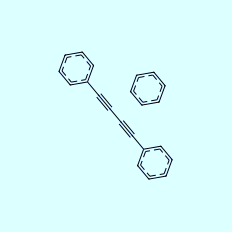 C(C#Cc1ccccc1)#Cc1ccccc1.c1ccccc1